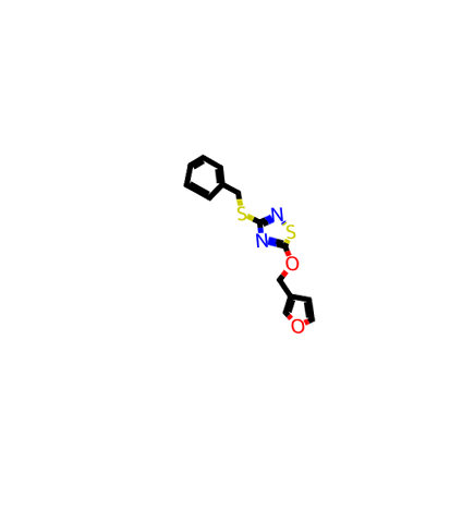 c1ccc(CSc2nsc(OCc3ccoc3)n2)cc1